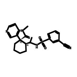 CNC(=S)[C@@]1(c2cccnc2)CCCC[C@@H]1C(C)NS(=O)(=O)c1cccc(C#N)c1